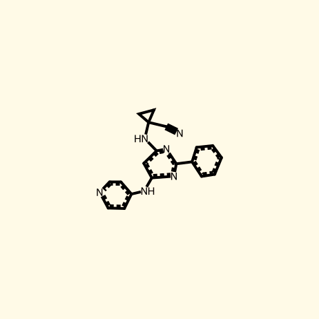 N#CC1(Nc2cc(Nc3ccncc3)nc(-c3ccccc3)n2)CC1